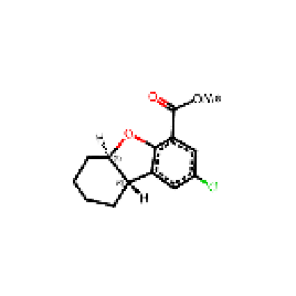 COC(=O)c1cc(Cl)cc2c1O[C@@H]1CCCC[C@@H]21